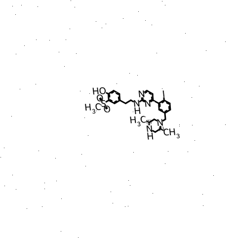 C[C@H]1CN(Cc2ccc(I)c(-c3ccnc(NCCc4ccc(O)c(S(C)(=O)=O)c4)n3)c2)[C@@H](C)CN1